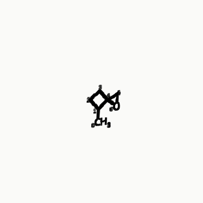 CC1CCC12CO2